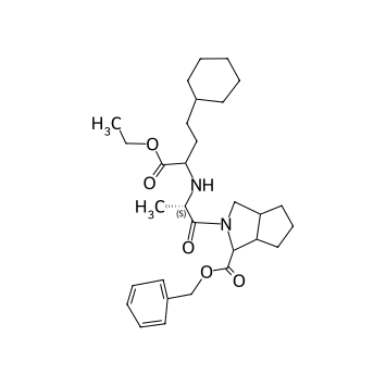 CCOC(=O)C(CCC1CCCCC1)N[C@@H](C)C(=O)N1CC2CCCC2C1C(=O)OCc1ccccc1